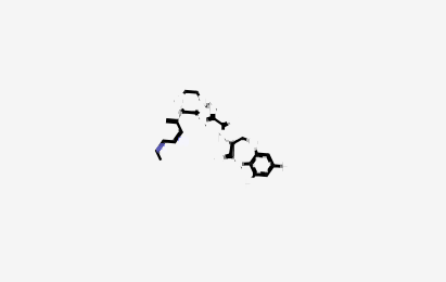 C=C(/C=C\C=C/C)[C@H]1OCCn2nc(C(=O)N[C@H]3COc4cc(F)cc(F)c4NC3=O)nc21